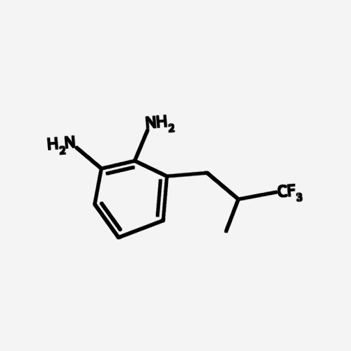 CC(Cc1cccc(N)c1N)C(F)(F)F